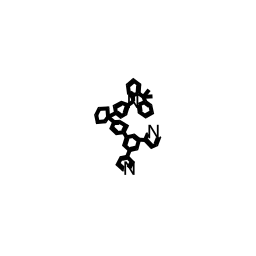 CC1(C)c2ccccc2N(c2ccc(C3(c4ccc(-c5cc(-c6cccnc6)cc(-c6cccnc6)c5)cc4)CCCCC3)cc2)c2ccccc21